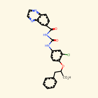 O=C(NC(=O)c1ccc2nccnc2c1)Nc1ccc(OC(Cc2ccccc2)C(=O)O)c(Cl)c1